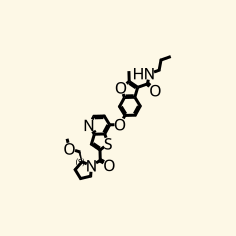 CCCNC(=O)c1c(C)oc2cc(Oc3ccnc4cc(C(=O)N5CCC[C@H]5COC)sc34)ccc12